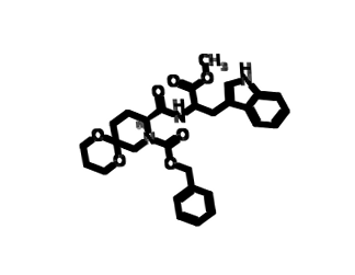 COC(=O)C(Cc1c[nH]c2ccccc12)NC(=O)[C@@H]1CCC2(CN1C(=O)OCc1ccccc1)OCCCO2